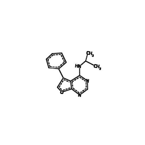 CC(C)Nc1ncnc2occ(-c3ccccc3)c12